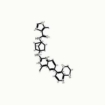 Cc1ocnc1C(=O)NC12CCC(Nc3nc(C)c4cc(-c5ccnc6c5OCCO6)ccc4n3)(CC1)C2